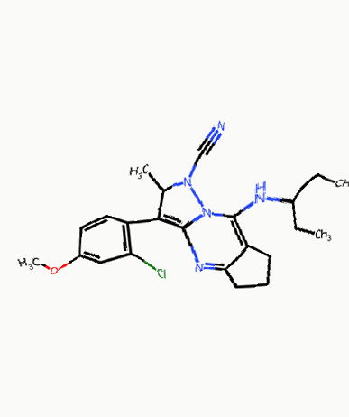 CCC(CC)NC1=C2CCCC2=NC2=C(c3ccc(OC)cc3Cl)C(C)N(C#N)N21